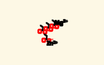 CCC(=O)[O-].CCC(=O)[O-].CCC(=O)[O-].CCC(=O)[O-].[Mg+2].[Zn+2]